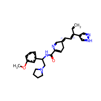 C=C/C(=C\C=C1\C=NC(C(=O)NC(CN2CCCC2)c2cccc(OC)c2)=CC1)c1cn[nH]c1